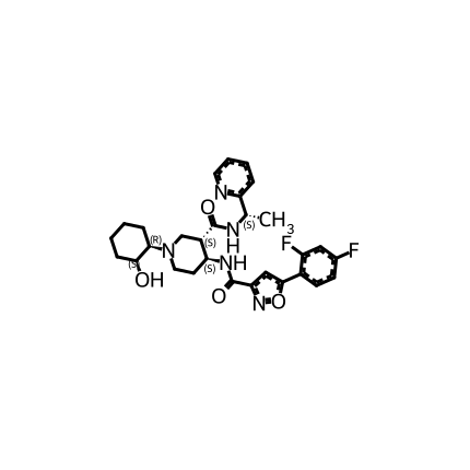 C[C@H](NC(=O)[C@H]1CN([C@@H]2CCCC[C@@H]2O)CC[C@@H]1NC(=O)c1cc(-c2ccc(F)cc2F)on1)c1ccccn1